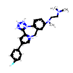 CN(C)CCN(C)c1ccc2c(c1)Cn1cc(-c3ccc(F)cc3)cc1-c1nnnn1-2